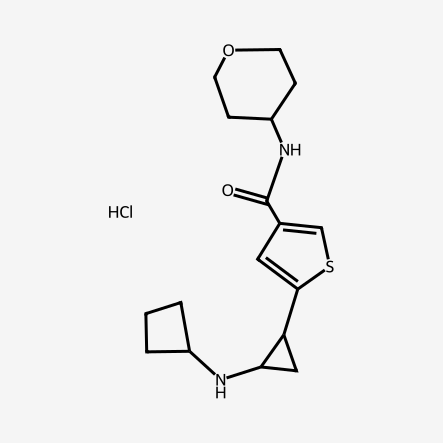 Cl.O=C(NC1CCOCC1)c1csc(C2CC2NC2CCC2)c1